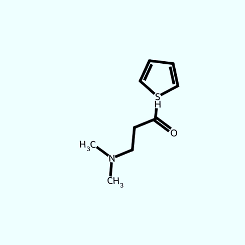 CN(C)CCC(=O)[SH]1C=CC=C1